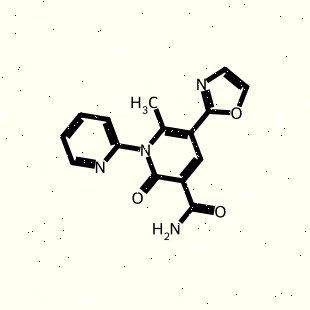 Cc1c(-c2ncco2)cc(C(N)=O)c(=O)n1-c1ccccn1